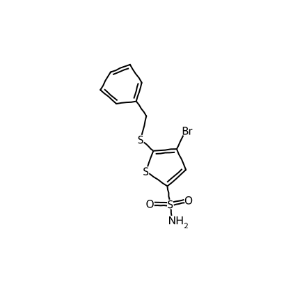 NS(=O)(=O)c1cc(Br)c(SCc2ccccc2)s1